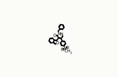 CS(=O)(=O)c1ccc(-c2cnn(Cc3ccccc3)c(=O)c2-c2occ3ccccc23)cc1